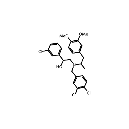 COc1ccc(CC(C)N(Cc2ccc(Cl)c(Cl)c2)CC(O)c2cccc(Cl)c2)cc1OC